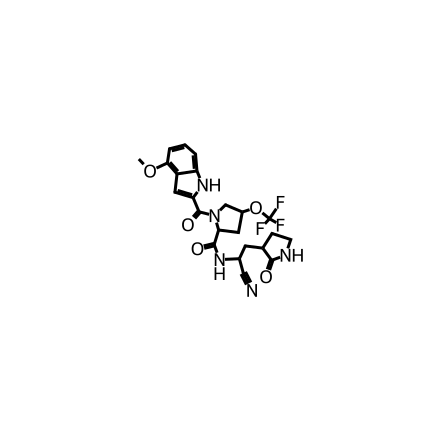 COc1cccc2[nH]c(C(=O)N3CC(OC(F)(F)F)CC3C(=O)NC(C#N)CC3CCNC3=O)cc12